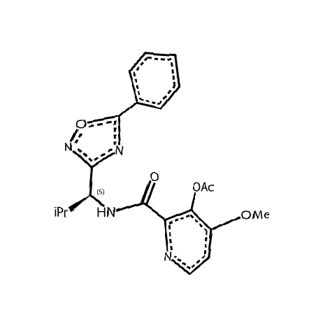 COc1ccnc(C(=O)N[C@H](c2noc(-c3ccccc3)n2)C(C)C)c1OC(C)=O